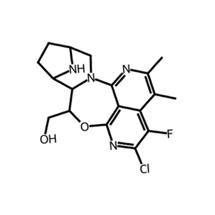 Cc1nc2c3c(nc(Cl)c(F)c3c1C)OC(CO)C1C3CCC(CN21)N3